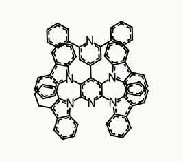 C1=Cc2c(c3ccccc3n2-c2nc(-n3c4ccccc4c4ccccc43)c(-n3c4ccccc4c4ccccc43)c(-c3cc(-c4ccccc4)nc(-c4ccccc4)c3)c2-n2c3ccccc3c3ccccc32)CC1